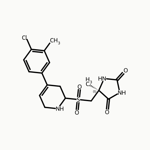 Cc1cc(C2=CCNC(S(=O)(=O)C[C@@]3(C)NC(=O)NC3=O)C2)ccc1Cl